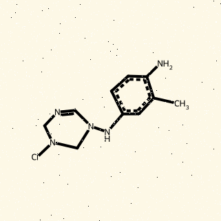 Cc1cc(NN2[C]=NCN(Cl)C2)ccc1N